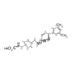 Cc1cc(C)cc(-c2ccc(NCC3CCC(CNC(=O)O)CC3)nn2)c1